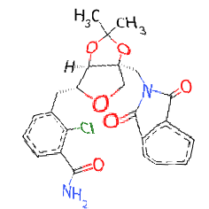 CC1(C)O[C@@H]2[C@@H](Cc3cccc(C(N)=O)c3Cl)OC[C@]2(CN2C(=O)c3ccccc3C2=O)O1